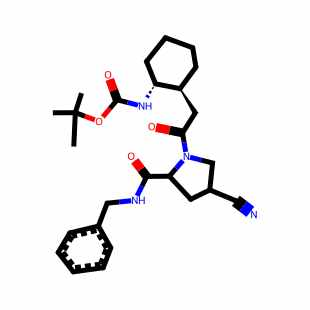 CC(C)(C)OC(=O)N[C@@H]1CCCC[C@H]1CC(=O)N1CC(C#N)CC1C(=O)NCc1ccccc1